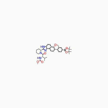 COC(=O)N[C@H](C(=O)N1CCCC[C@H]1c1nc2c(ccc3c4c(ccc32)-c2ccc(B3OC(C)(C)C(C)(C)O3)cc2CO4)[nH]1)C(C)C